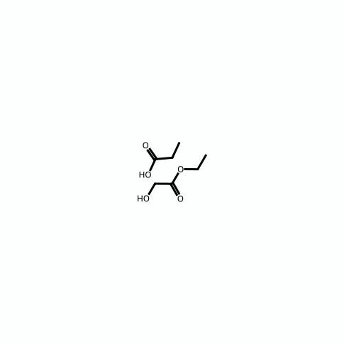 CCC(=O)O.CCOC(=O)CO